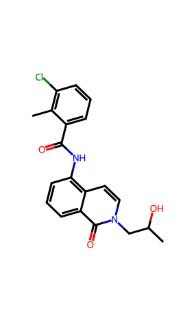 Cc1c(Cl)cccc1C(=O)Nc1cccc2c(=O)n(CC(C)O)ccc12